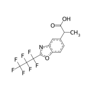 CC(C(=O)O)c1ccc2oc(C(F)(F)C(F)(F)C(F)(F)F)nc2c1